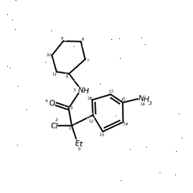 CCC(Cl)(C(=O)NC1CCCCC1)c1ccc(N)cc1